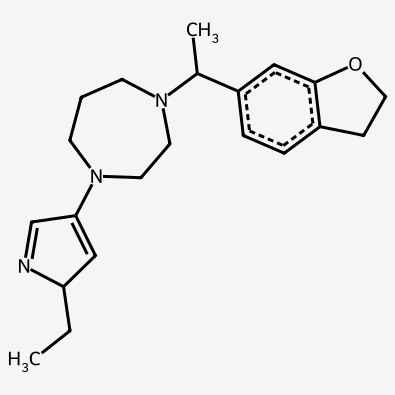 CCC1C=C(N2CCCN(C(C)c3ccc4c(c3)OCC4)CC2)C=N1